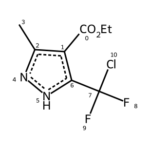 CCOC(=O)c1c(C)n[nH]c1C(F)(F)Cl